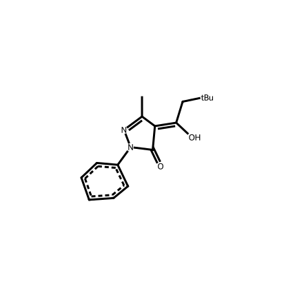 CC1=NN(c2ccccc2)C(=O)/C1=C(\O)CC(C)(C)C